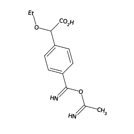 CCOC(C(=O)O)c1ccc(C(=N)OC(C)=N)cc1